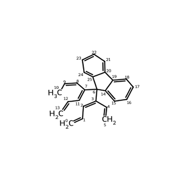 C=C/C=C(\C=C)C1(C(/C=C\C)=C/C=C)c2ccccc2-c2ccccc21